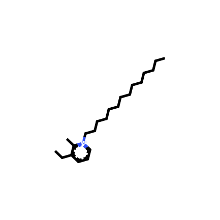 CCCCCCCCCCCCCC[n+]1cccc(CC)c1C